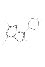 Fc1cc(Br)cn2c(C3CCNCC3)cnc12